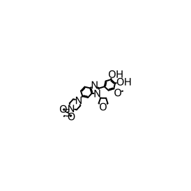 COc1cc(-c2nc3ccc(N4CCN(S(C)(=O)=O)CC4)cc3n2C2CCOC2)cc(O)c1O